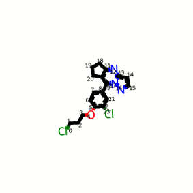 ClCCCOc1ccc(-c2c3c(nc4ccnn24)CCC3)cc1Cl